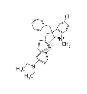 CCN(CC)c1ccc(/C=C/C2=[N+](C)c3ccc(Cl)cc3C2(Cc2ccccc2)Cc2ccccc2)cc1